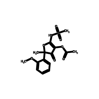 COc1ccccc1C1(C)OC(NS(C)(=O)=O)=C(OC(C)=O)C1=O